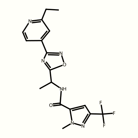 CCc1cc(-c2noc(C(C)NC(=O)c3cc(C(F)(F)F)nn3C)n2)ccn1